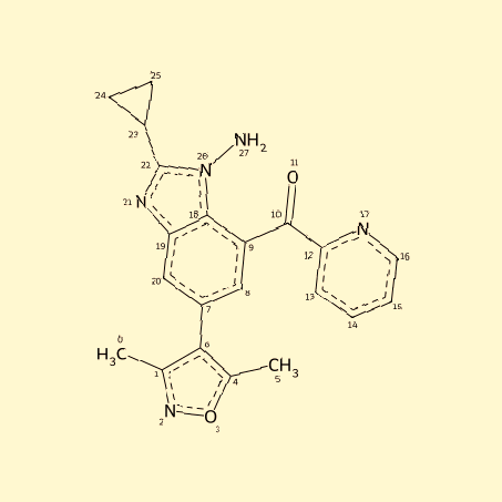 Cc1noc(C)c1-c1cc(C(=O)c2ccccn2)c2c(c1)nc(C1CC1)n2N